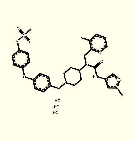 Cc1cccnc1CN(C(=O)Nc1cnn(C)c1)C1CCN(Cc2ccc(Oc3ccc(NS(C)(=O)=O)cc3)cc2)CC1.Cl.Cl.Cl